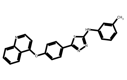 Cc1cccc(Nc2nnc(-c3ccc(Oc4ccnc5ccccc45)cc3)s2)c1